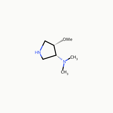 CO[C@H]1CNC[C@H]1N(C)C